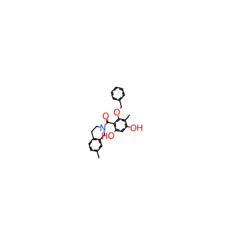 Cc1ccc2c(c1)CN(C(=O)c1c(O)cc(O)c(C)c1OCc1ccccc1)CC2